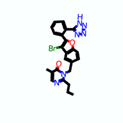 CCCc1ncc(C)c(=O)n1Cc1ccc2oc(-c3ccccc3-c3nnn[nH]3)c(Br)c2c1